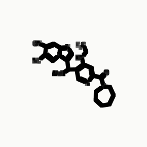 CNC(c1cnc(C(=O)N2CCCCCC2)cc1NCC(F)(F)F)c1cnc2cc(N=O)c(C#N)cn12